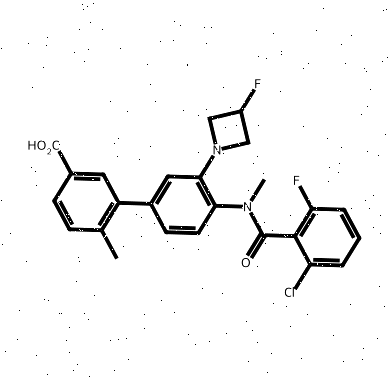 Cc1ccc(C(=O)O)cc1-c1ccc(N(C)C(=O)c2c(F)cccc2Cl)c(N2CC(F)C2)c1